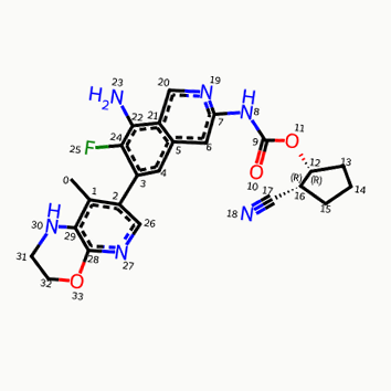 Cc1c(-c2cc3cc(NC(=O)O[C@@H]4CCC[C@@H]4C#N)ncc3c(N)c2F)cnc2c1NCCO2